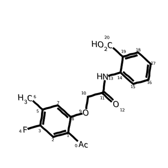 CC(=O)c1cc(F)c(C)cc1OCC(=O)Nc1ccccc1C(=O)O